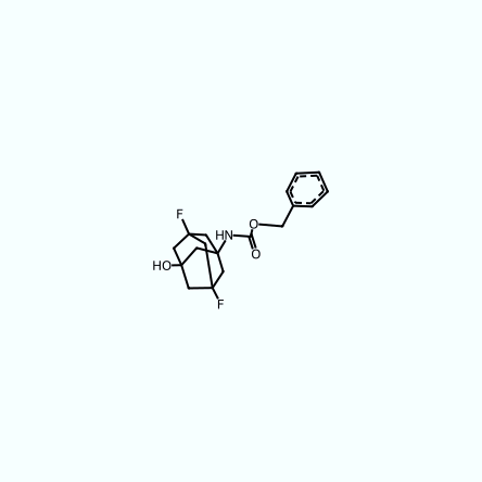 O=C(NC12CC3(O)CC(F)(CC(F)(C3)C1)C2)OCc1ccccc1